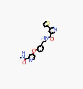 CNC(=O)c1cc(Oc2cccc(CCNC(=O)c3cncc(-c4cccs4)c3)c2)ccn1